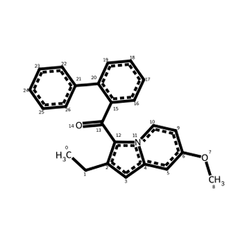 CCc1cc2cc(OC)ccn2c1C(=O)c1ccccc1-c1ccccc1